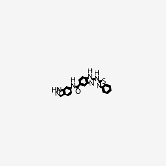 O=C(Nc1ccc2cn[nH]c2c1)c1ccc2[nH]c(Nc3nc4ccccc4s3)nc2c1